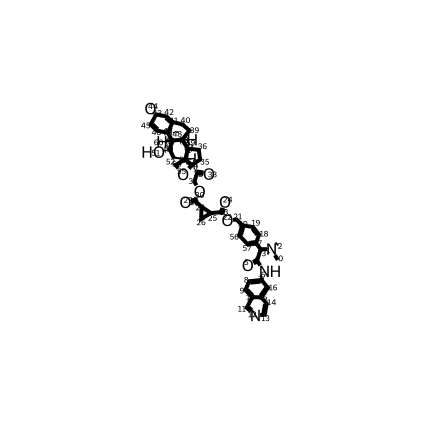 CN(C)C(C(=O)Nc1ccc2cnccc2c1)c1ccc(COC(=O)C2CC2C(=O)OCC(=O)[C@@]23CC[C@H]4[C@@H]5CCC6=CC(=O)C=C[C@]6(C)[C@H]5[C@@H](O)C[C@@]42CO3)cc1